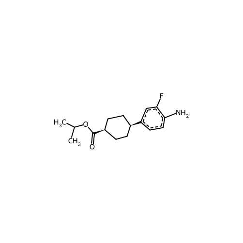 CC(C)OC(=O)[C@H]1CC[C@@H](c2ccc(N)c(F)c2)CC1